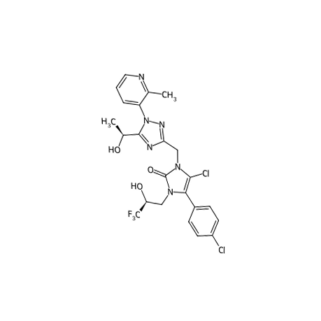 Cc1ncccc1-n1nc(Cn2c(Cl)c(-c3ccc(Cl)cc3)n(C[C@H](O)C(F)(F)F)c2=O)nc1[C@H](C)O